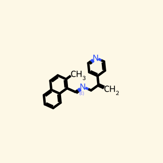 C=C(C/N=C/c1c(C)ccc2ccccc12)c1ccncc1